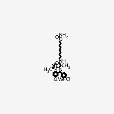 COc1ccc2c(c1)C(c1ccc(Cl)cc1)=N[C@@H]([C@@H](C)C(=O)NCCCCCCCCCOC(N)=O)c1nnc(C)n1-2